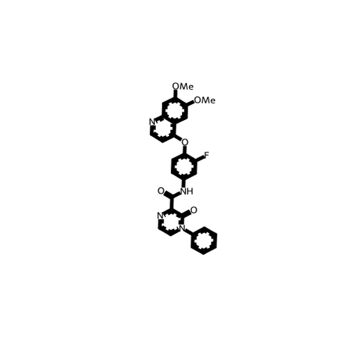 COc1cc2nccc(Oc3ccc(NC(=O)c4nccn(-c5ccccc5)c4=O)cc3F)c2cc1OC